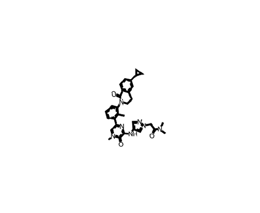 Cc1c(-c2cn(C)c(=O)c(Nc3cnn(CC(=O)N(C)C)c3)n2)cccc1N1CCc2cc(C3CC3)ccc2C1=O